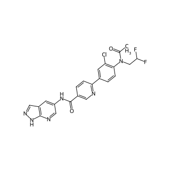 CC(=O)N(CC(F)F)c1ccc(-c2ccc(C(=O)Nc3cnc4[nH]ncc4c3)cn2)cc1Cl